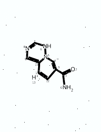 NC(=O)C1=CN2NC=NC=C2C=C1.[H+]